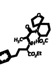 CCOC(=O)[C@H](CCc1ccccc1)NC(C)C(=O)N1[C@H](C(=O)O)CCCC12CCOC2